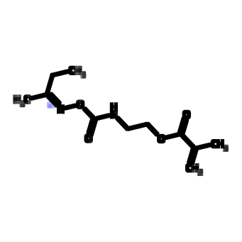 C=C(C)C(=O)OCCNC(=O)O/N=C(/C)CC